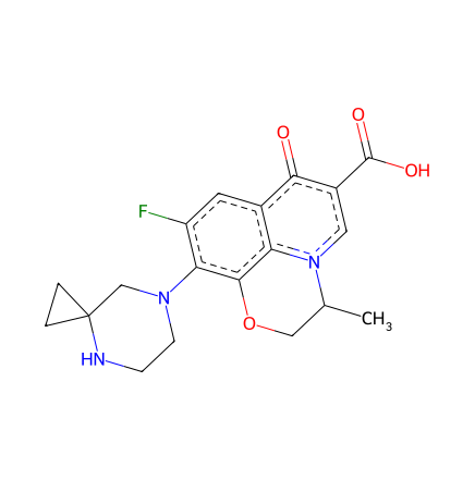 CC1COc2c(N3CCNC4(CC4)C3)c(F)cc3c(=O)c(C(=O)O)cn1c23